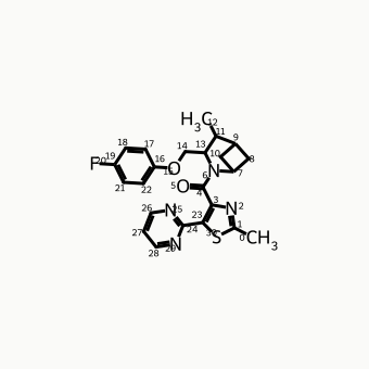 Cc1nc(C(=O)N2C3CC(C3)C(C)C2COc2ccc(F)cc2)c(-c2ncccn2)s1